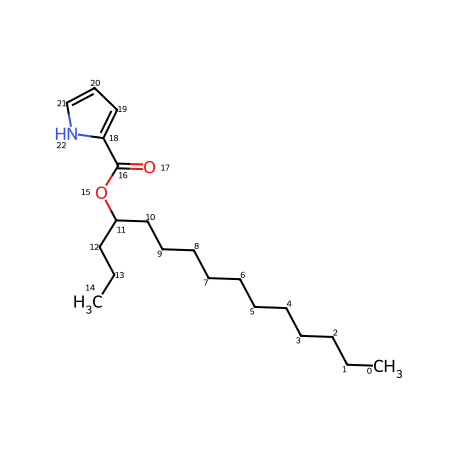 CCCCCCCCCCCC(CCC)OC(=O)c1ccc[nH]1